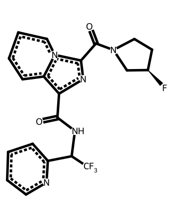 O=C(NC(c1ccccn1)C(F)(F)F)c1nc(C(=O)N2CC[C@@H](F)C2)n2ccccc12